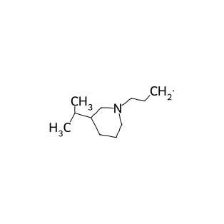 [CH2]CCN1CCCC(C(C)C)C1